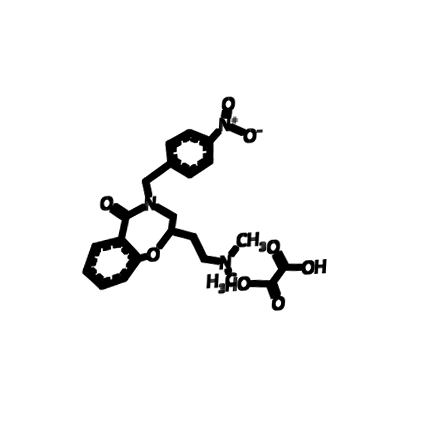 CN(C)CCC1CN(Cc2ccc([N+](=O)[O-])cc2)C(=O)c2ccccc2O1.O=C(O)C(=O)O